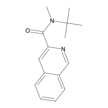 CN(C(=O)c1cc2ccccc2cn1)C(C)(C)C